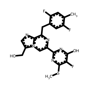 CSc1nc(-c2cn3c(CO)cnc3c(Cc3cc(F)c(C)cc3F)n2)nc(O)c1F